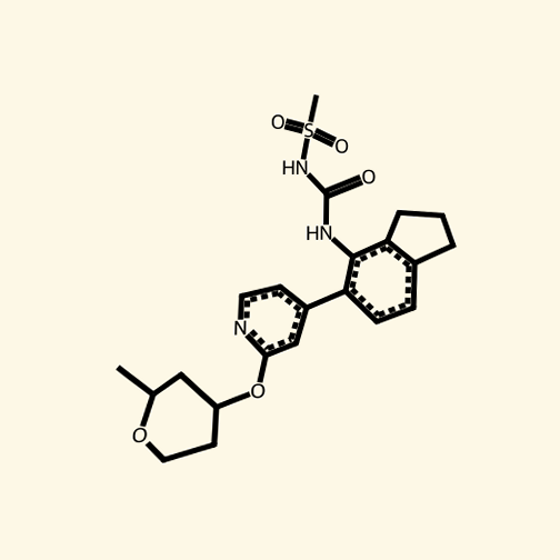 CC1CC(Oc2cc(-c3ccc4c(c3NC(=O)NS(C)(=O)=O)CCC4)ccn2)CCO1